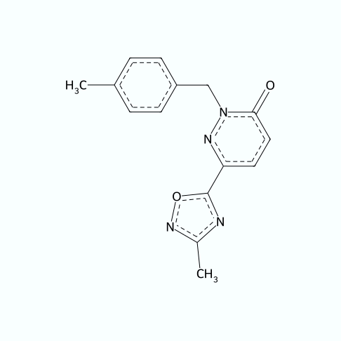 Cc1ccc(Cn2nc(-c3nc(C)no3)ccc2=O)cc1